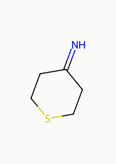 N=C1CCSCC1